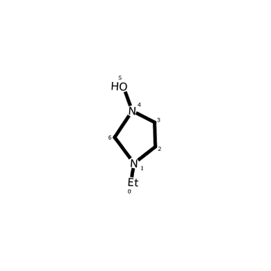 CCN1CCN(O)C1